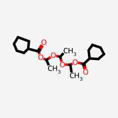 CC(OC(=O)C1CCCCC1)OC(C)OC(C)OC(=O)C1CCCCC1